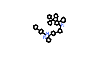 c1ccc(-c2ccc(-c3nc(-c4ccc(-c5cccc(-c6nc7ccccc7c7c8c(ccc67)C(c6ccccc6)(c6ccccc6)c6ccccc6-8)c5)cc4)c4ccccc4n3)cc2)cc1